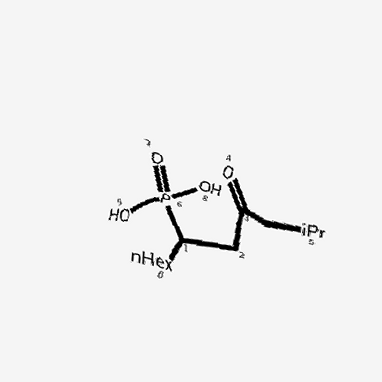 CCCCCCC(CC(=O)C(C)C)P(=O)(O)O